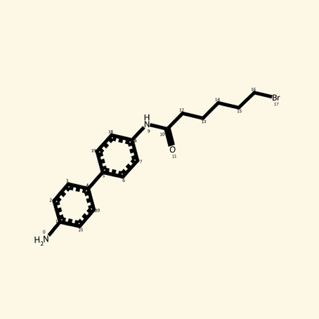 Nc1ccc(-c2ccc(NC(=O)CCCCCBr)cc2)cc1